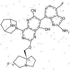 N#Cc1nc2c(N3CC4CCC(C3)N4)nc(OC[C@@]34CCCN3C[C@H](F)C4)nc2c(O)c1-c1ccc(F)c2oc(N)nc12